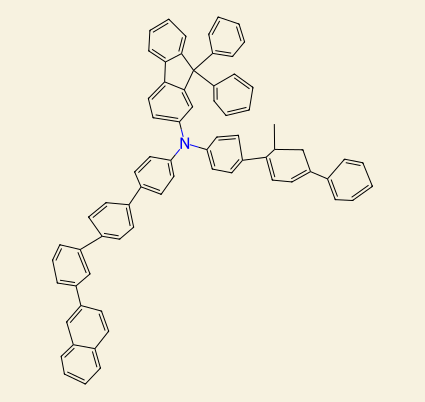 CC1CC(c2ccccc2)=CC=C1c1ccc(N(c2ccc(-c3ccc(-c4cccc(-c5ccc6ccccc6c5)c4)cc3)cc2)c2ccc3c(c2)C(c2ccccc2)(c2ccccc2)c2ccccc2-3)cc1